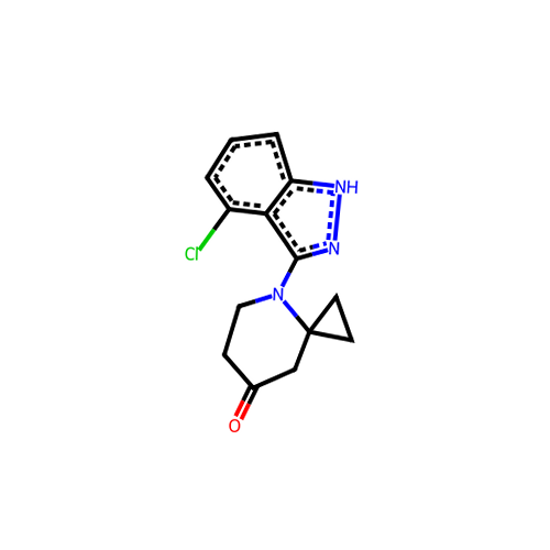 O=C1CCN(c2n[nH]c3cccc(Cl)c23)C2(CC2)C1